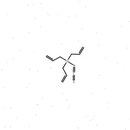 C=CC[Si](CC=C)(CC=C)N=C=S